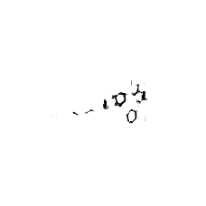 COCCOCCOc1cnc2cc(Nc3nc(N[C@@H]4CCCC[C@@H]4N)c(F)cc3C(N)=O)ccc2n1